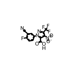 N#Cc1cc(-n2nc(C(F)(F)F)c([N+](=O)[O-])c2C(=O)O)ccc1F